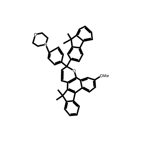 COc1ccc2c3c(c4c(c2c1)OC(c1ccc(N2CCOCC2)cc1)(c1ccc2c(c1)C(C)(C)c1ccccc1-2)C=C4)C(C)(C)c1ccccc1-3